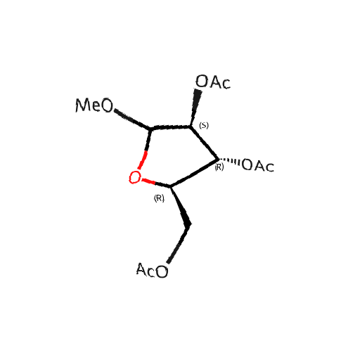 COC1O[C@H](COC(C)=O)[C@@H](OC(C)=O)[C@@H]1OC(C)=O